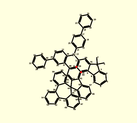 CC1(C)c2ccccc2-c2ccc(N(c3ccc(-c4ccccc4)cc3)c3ccc(-c4ccccc4)cc3-c3ccc4c(c3)C3(c5ccccc5-c5ccccc5-c5ccccc53)c3ccccc3-4)cc21